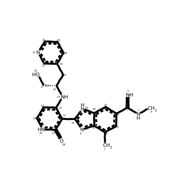 CNC(=N)c1cc(C)c2nc(-c3c(N[C@H](CO)Cc4cccnc4)cc[nH]c3=O)[nH]c2c1